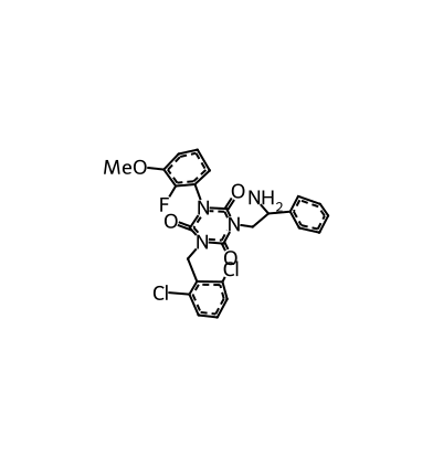 COc1cccc(-n2c(=O)n(Cc3c(Cl)cccc3Cl)c(=O)n(CC(N)c3ccccc3)c2=O)c1F